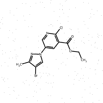 CCOC(=O)c1cc(-n2cc(Br)c(C)n2)cnc1Cl